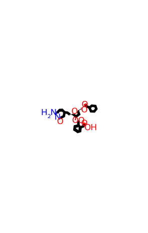 NC1=NC(=O)CC(CC[C@@H]2O[C@H](COC(=O)C3CCCCC3)C[C@H]2OC(=O)c2ccccc2C(=O)O)C=C1